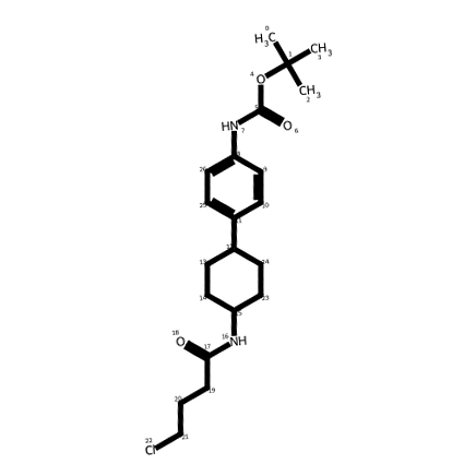 CC(C)(C)OC(=O)Nc1ccc(C2CCC(NC(=O)CCCCl)CC2)cc1